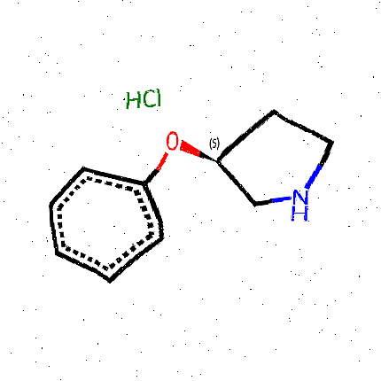 Cl.c1ccc(O[C@H]2CCNC2)cc1